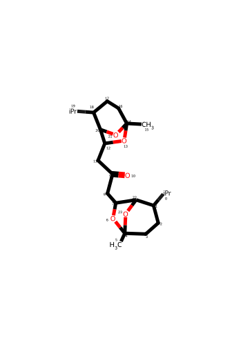 CC(C)C1CCC2(C)OC(CC(=O)CC3OC4(C)CCC(C(C)C)C3O4)C1O2